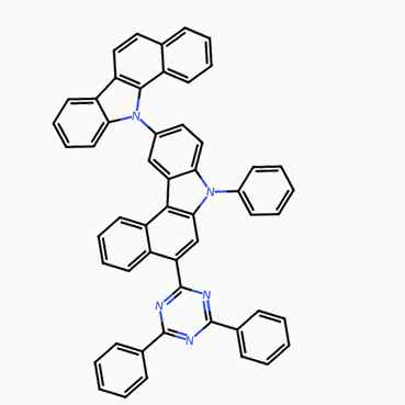 c1ccc(-c2nc(-c3ccccc3)nc(-c3cc4c(c5ccccc35)c3cc(-n5c6ccccc6c6ccc7ccccc7c65)ccc3n4-c3ccccc3)n2)cc1